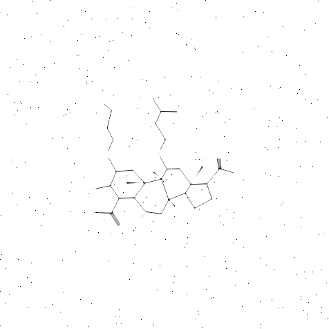 CCCCOC1C[C@@]2(C)C(CC[C@@H]3[C@H]2C(NCCC(C)C)C[C@]2(C)C(C(=O)O)CC[C@@H]32)C(C(=O)O)C1O